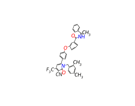 Cc1ccc(Cn2c(-c3ccc(Oc4cccc(C(=O)N[C@@H](C)c5ccccc5)c4)cc3)cc(C(F)(F)F)c(C#N)c2=O)c(C)c1